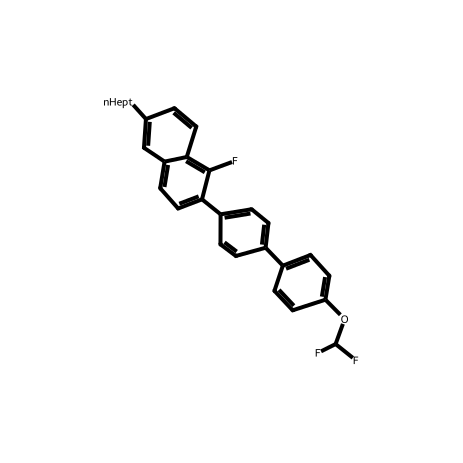 CCCCCCCc1ccc2c(F)c(-c3ccc(-c4ccc(OC(F)F)cc4)cc3)ccc2c1